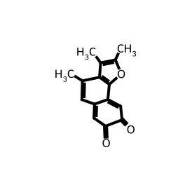 Cc1oc2c3c(cc(C)c2c1C)=CC(=O)C(=O)C=3